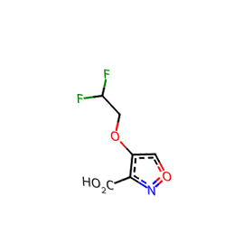 O=C(O)c1nocc1OCC(F)F